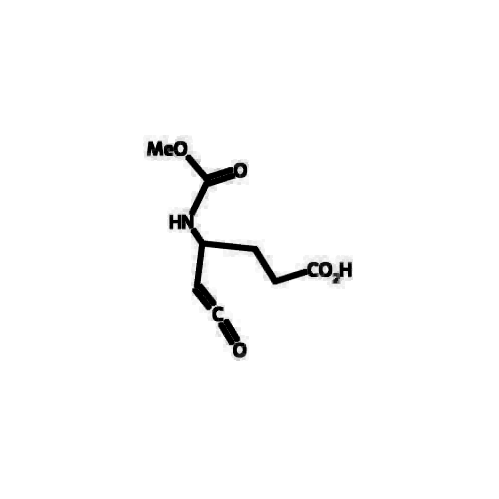 COC(=O)NC(C=C=O)CCC(=O)O